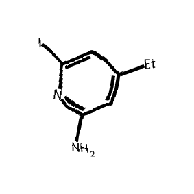 CCc1cc(N)nc(I)c1